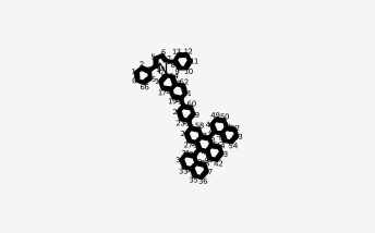 c1ccc(-c2ccc(-c3ccccc3)n2-c2ccc3cc(-c4ccc(-c5ccc6c(-c7cccc8ccccc78)c7ccccc7c(-c7cccc8ccccc78)c6c5)cc4)ccc3c2)cc1